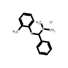 Cc1ccccc1[N-]C(c1ccccc1)N(C)C.[Li+]